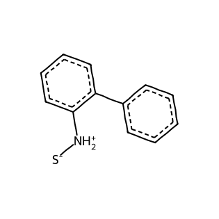 [S-][NH2+]c1ccccc1-c1ccccc1